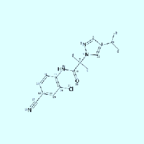 CC(C)c1cnn(C(C)(C)C(=O)Nc2ccc(C#N)cc2Cl)c1